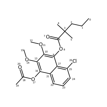 CCCC(C)(C)C(=O)Oc1c(OC)c(OC)c(OC(C)=O)c2cccc(Cl)c12